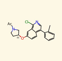 CC(=O)N1CC[C@H](Oc2ccc3c(-c4ccccc4C)cnc(Cl)c3c2)C1